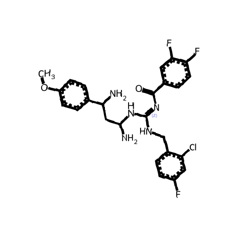 COc1ccc(C(N)CC(N)N/C(=N\C(=O)c2ccc(F)c(F)c2)NCc2ccc(F)cc2Cl)cc1